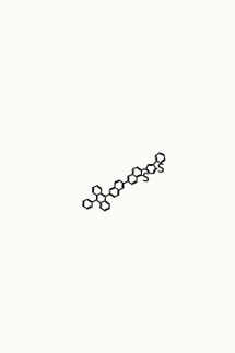 c1ccc(-c2c3ccccc3c(-c3ccc4cc(-c5ccc6c(ccc7c8cc9c(cc8sc67)sc6ccccc69)c5)ccc4c3)c3ccccc23)cc1